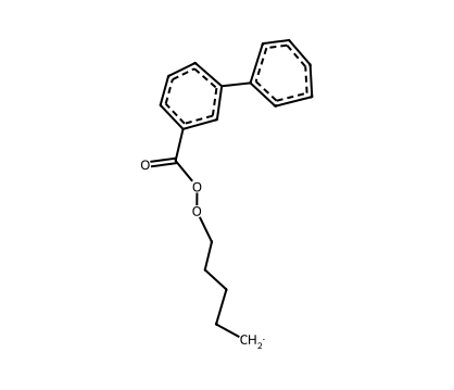 [CH2]CCCCOOC(=O)c1cccc(-c2ccccc2)c1